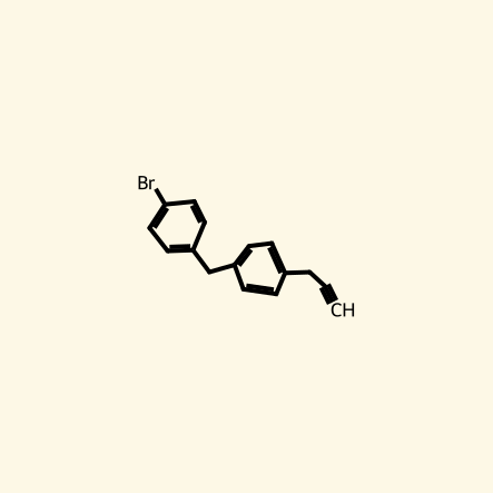 C#CCc1ccc(Cc2ccc(Br)cc2)cc1